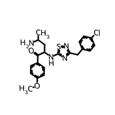 COc1ccc(C(=O)C(CC(C)N)Nc2nc(Cc3ccc(Cl)cc3)ns2)cc1